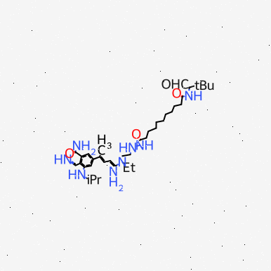 CCN(CCNNC(=O)CCCCCCCCCC(=O)N[C@H](C=O)C(C)(C)C)/C(N)=C/C=C(\C)c1cc(NC(C)C)c(C=N)c(C(N)=O)c1